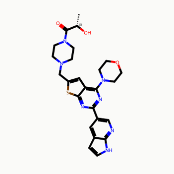 C[C@H](O)C(=O)N1CCN(Cc2cc3c(N4CCOCC4)nc(-c4cnc5[nH]ccc5c4)nc3s2)CC1